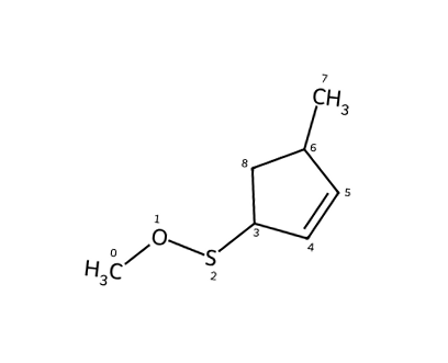 COSC1C=CC(C)C1